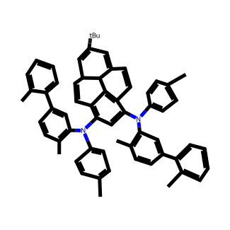 Cc1ccc(N(c2cc(-c3ccccc3C)ccc2C)c2cc(N(c3ccc(C)cc3)c3cc(-c4ccccc4C)ccc3C)c3c4c2C=CC2=CC(C(C)(C)C)=CC(C=C3)C24)cc1